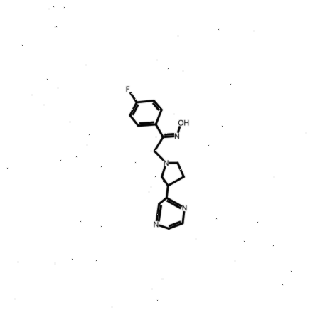 ON=C(CN1CCC(c2cnccn2)C1)c1ccc(F)cc1